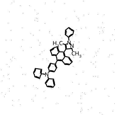 Cc1nn(-c2ccccc2)c(C)c1-c1c2ccccc2c(-c2ccc(N(c3ccccc3)c3ccccc3)cc2)c2ccccc12